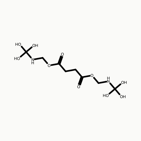 O=C(CCC(=O)OCNC(O)(O)O)OCNC(O)(O)O